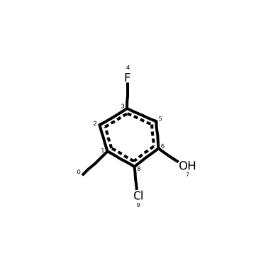 Cc1cc(F)cc(O)c1Cl